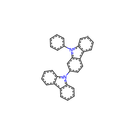 [c]1ccc2c3ccc(-n4c5ccccc5c5ccccc54)cc3n(-c3ccccc3)c2c1